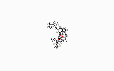 C=C/C(=C\N=C(/C)N1CC2CC(C1)N2Cc1nc(C(F)(F)F)no1)c1cc(OCC(C)(C)O)cn2ncc(C#N)c12